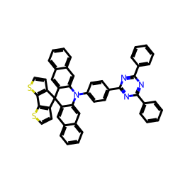 c1ccc(-c2nc(-c3ccccc3)nc(-c3ccc(N4c5cc6ccccc6cc5C5(c6cc7ccccc7cc64)c4ccsc4-c4sccc45)cc3)n2)cc1